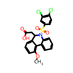 COc1cccc2c1-c1ccccc1N(S(=O)(=O)c1ccc(Cl)c(Cl)c1)C2CC(=O)O